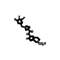 O=C(Nc1cc2c(cc1F)CN(C(=O)O)CC2)c1cn(Cc2cc(F)c(F)c(F)c2)cn1